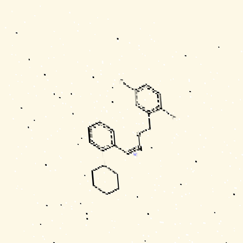 Fc1ccc(F)c(CO/N=[C]\c2ccccc2C2CCCCC2)c1